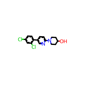 OC1CCN(c2ccc(-c3ccc(Cl)cc3Cl)cn2)CC1